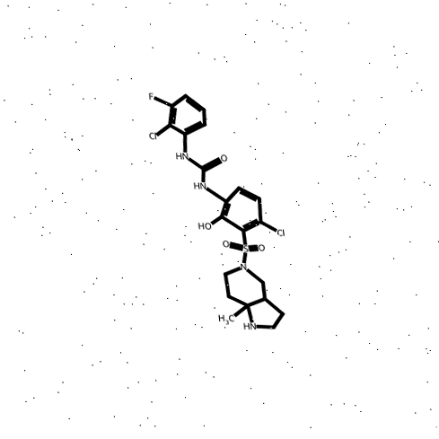 CC12CCN(S(=O)(=O)c3c(Cl)ccc(NC(=O)Nc4cccc(F)c4Cl)c3O)CC1CCN2